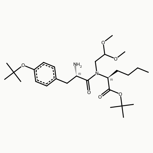 CCCC[C@@H](C(=O)OC(C)(C)C)N(CC(OC)OC)C(=O)[C@@H](N)Cc1ccc(OC(C)(C)C)cc1